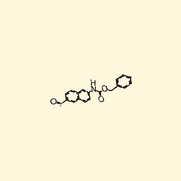 O=[C]c1ccc2cc(NC(=O)OCc3ccccc3)ccc2c1